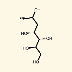 OC[C@@H](O)[C@@H](O)[C@H](O)CC(O)[18F]